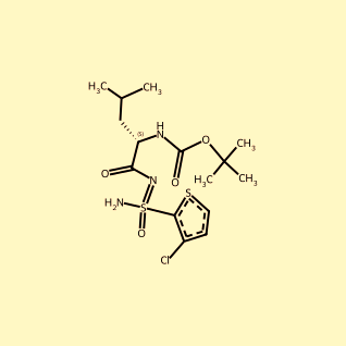 CC(C)C[C@H](NC(=O)OC(C)(C)C)C(=O)N=S(N)(=O)c1sccc1Cl